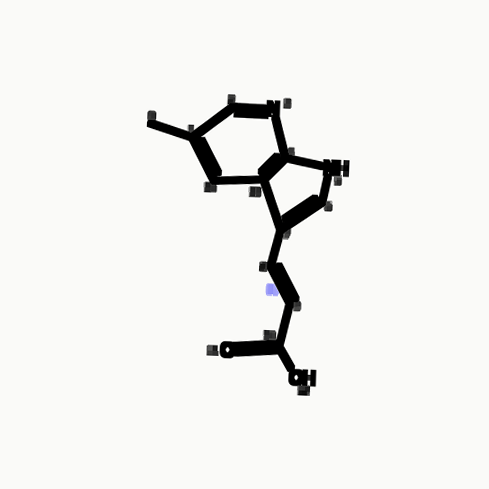 Cc1cnc2[nH]cc(/C=C/C(=O)O)c2c1